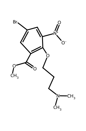 COC(=O)c1cc(Br)cc([N+](=O)[O-])c1OCCCN(C)C